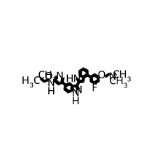 CC(C)CC(=O)Nc1cncc(-c2ccc3[nH]nc(-c4cc5c(-c6cc(F)cc(OCCN(C)C)c6)cccc5[nH]4)c3c2)c1